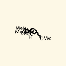 CCOC(=O)C12CC(CCCCOC)CN(CCc3c1[nH]c1cc(OC)c(OC)cc31)C2C